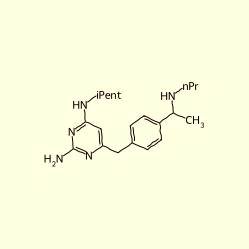 CCCNC(C)c1ccc(Cc2cc(NC(C)CCC)nc(N)n2)cc1